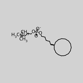 C[N+](C)(C)CCCOP(=O)([O-])OCCCCC=C1CCCCCCCCCCCCCC1